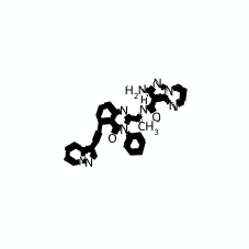 C[C@@H](NC(=O)c1c(N)nn2cccnc12)c1nc2cccc(C#Cc3cnn4ccccc34)c2c(=O)n1-c1ccccc1